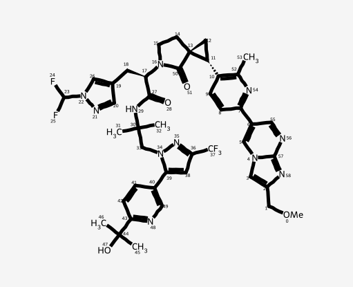 COCc1cn2cc(-c3ccc([C@H]4C[C@@]45CCN([C@H](Cc4cnn(C(F)F)c4)C(=O)NC(C)(C)Cn4nc(C(F)(F)F)cc4-c4ccc(C(C)(C)O)nc4)C5=O)c(C)n3)cnc2n1